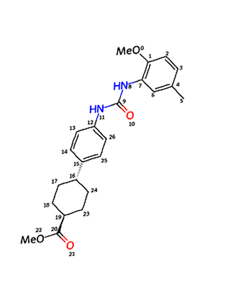 COc1ccc(C)cc1NC(=O)Nc1ccc([C@H]2CC[C@H](C(=O)OC)CC2)cc1